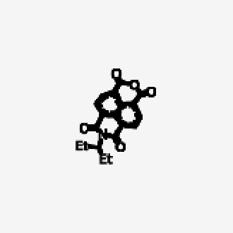 CCC(CC)N1C(=O)c2ccc3c4c(ccc(c24)C1=O)C(=O)OC3=O